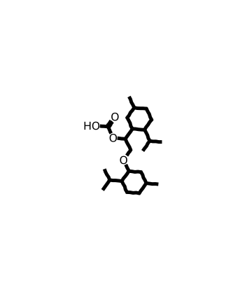 CC1CCC(C(C)C)C(OCC(OC(=O)O)C2CC(C)CCC2C(C)C)C1